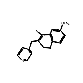 CCC1=C(Cc2ccncc2)CCc2ccc(OC)cc21